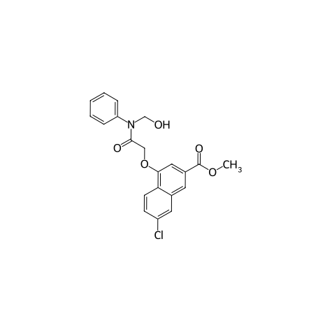 COC(=O)c1cc(OCC(=O)N(CO)c2ccccc2)c2ccc(Cl)cc2c1